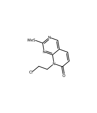 CSc1ncc2ccc(=O)n(CCCl)c2n1